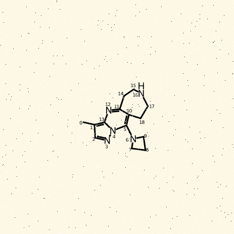 Cc1cnn2c(N3CCC3)c3c(nc12)CCNCC3